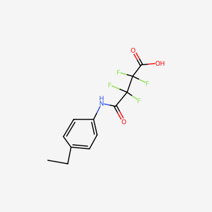 CCc1ccc(NC(=O)C(F)(F)C(F)(F)C(=O)O)cc1